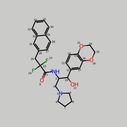 O=C(NC(CN1CCCC1)C(O)c1ccc2c(c1)OCCO2)C(F)(F)Cc1ccc2ccccc2c1